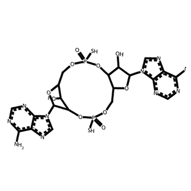 Nc1ncnc2c1ncn2C1OC2COP(=O)(S)OC3C(O)C(COP(=O)(S)OC2C1O)OC3n1cnc2c(N)ncnc21